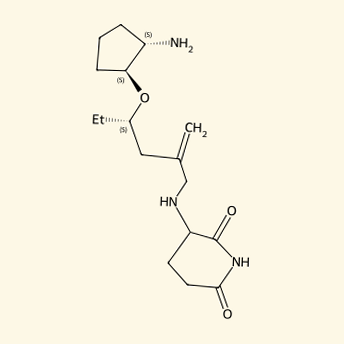 C=C(CNC1CCC(=O)NC1=O)C[C@H](CC)O[C@H]1CCC[C@@H]1N